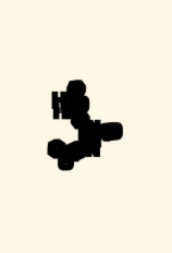 O=C(Nc1ccccc1)Nc1ccc(-c2nc(N3CCOCC3)c3cnn(C4CCN(C(=O)c5ccccc5)CC4)c3n2)cc1